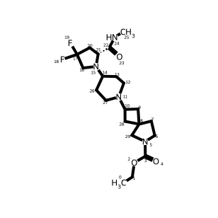 CCOC(=O)N1CCC2(CC(N3CCC(N4CC(F)(F)C[C@@H]4C(=O)NC)CC3)C2)C1